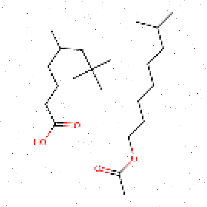 CC(=O)OCCCCCCC(C)C.CC(CCCC(=O)O)CC(C)(C)C